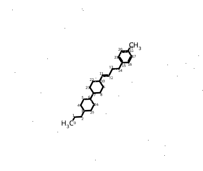 CCCC1CCC(C2CCC(C=CCCc3ccc(C)cc3)CC2)CC1